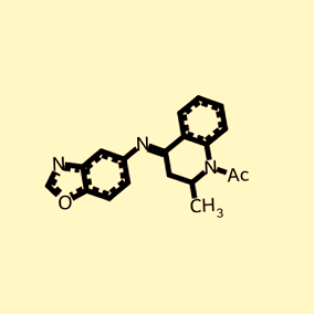 CC(=O)N1c2ccccc2C(=Nc2ccc3ocnc3c2)CC1C